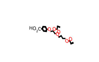 C=CC(=O)OCCCCOCC(COc1ccc(C(=O)O)cc1)OC(=O)C=C